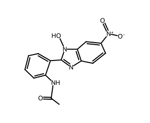 CC(=O)Nc1ccccc1-c1nc2ccc([N+](=O)[O-])cc2n1O